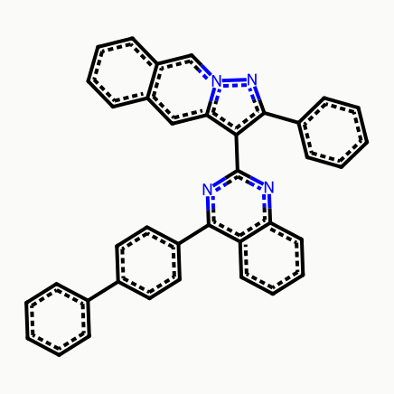 c1ccc(-c2ccc(-c3nc(-c4c(-c5ccccc5)nn5cc6ccccc6cc45)nc4ccccc34)cc2)cc1